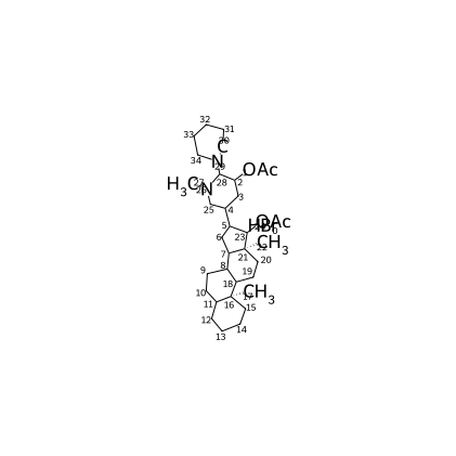 Br.CC(=O)OC1CC(C2CC3C4CCC5CCCC[C@]5(C)C4CC[C@]3(C)C2OC(C)=O)CN(C)C1N1CCCCC1